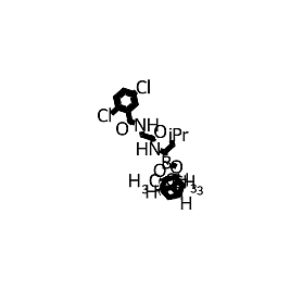 CC(C)CC(NC(=O)CNC(=O)c1cc(Cl)ccc1Cl)B1OC2C[C@@H]3C[C@@H](C3(C)C)[C@]2(C)O1